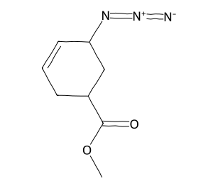 COC(=O)C1CC=CC(N=[N+]=[N-])C1